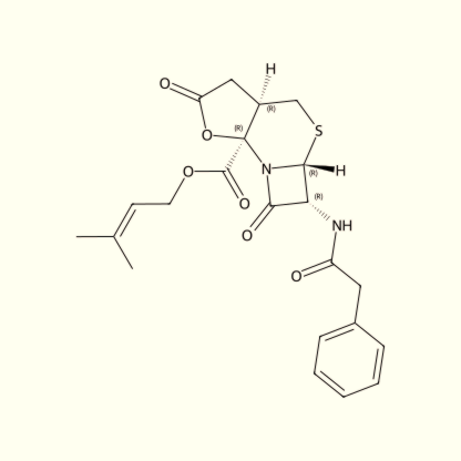 CC(C)=CCOC(=O)[C@]12OC(=O)C[C@H]1CS[C@@H]1[C@H](NC(=O)Cc3ccccc3)C(=O)N12